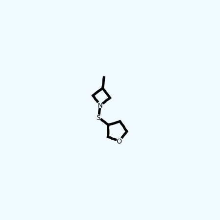 CC1CN(SC2CCOC2)C1